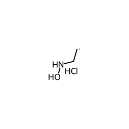 Cl.[CH2]CNO